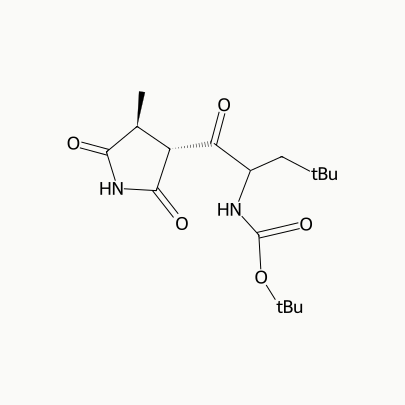 C[C@@H]1C(=O)NC(=O)[C@H]1C(=O)C(CC(C)(C)C)NC(=O)OC(C)(C)C